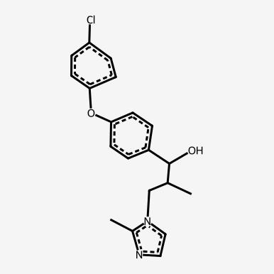 Cc1nccn1CC(C)C(O)c1ccc(Oc2ccc(Cl)cc2)cc1